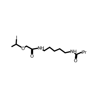 CC(I)OCC(=O)NCCCCCNC(=O)C(C)C